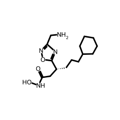 NCc1noc([C@H](CCCC2CCCCC2)CC(=O)NO)n1